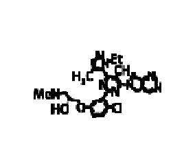 CCn1ncc(C)c1-c1nc(-c2cc(OC[C@H](O)CNC)ccc2Cl)nc(N2Cc3cncnc3C2)c1C